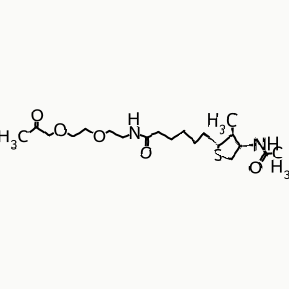 CC(=O)COCCOCCNC(=O)CCCCC[C@@H]1SC[C@H](NC(C)=O)[C@@H]1C